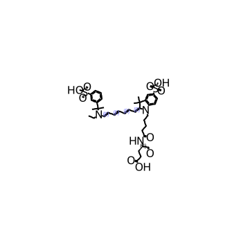 CCN(/C=C/C=C/C=C/C=C1/N(CCCCC(=O)N[C@@H](C=O)CCC(=O)O)c2ccc(S(=O)(=O)O)cc2C1(C)C)C(C)(C)c1cccc(S(=O)(=O)O)c1